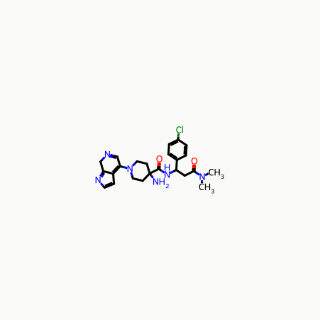 CN(C)C(=O)CC(NC(=O)C1(N)CCN(C2=C3C=CN=C3CN=C2)CC1)c1ccc(Cl)cc1